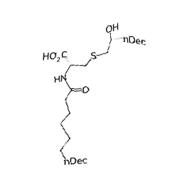 CCCCCCCCCCCCCCCC(=O)N[C@@H](CSC[C@H](O)CCCCCCCCCC)C(=O)O